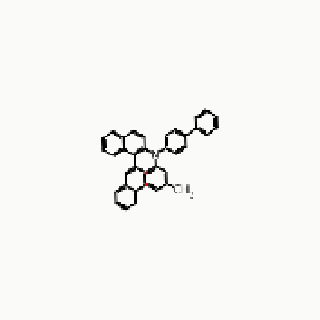 Cc1cccc(N(c2ccc(-c3ccccc3)cc2)c2ccc3ccccc3c2-c2ccc3ccccc3c2)c1